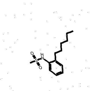 CCCCCCc1ccccc1NS(C)(=O)=O